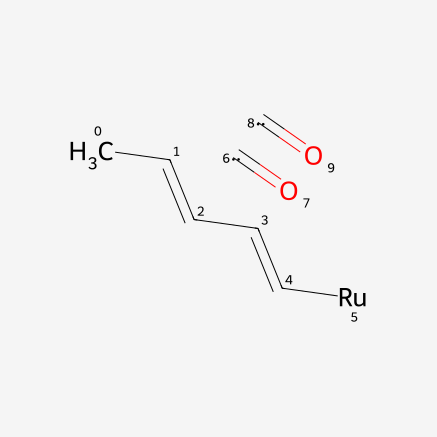 CC=CC=[CH][Ru].[C]=O.[C]=O